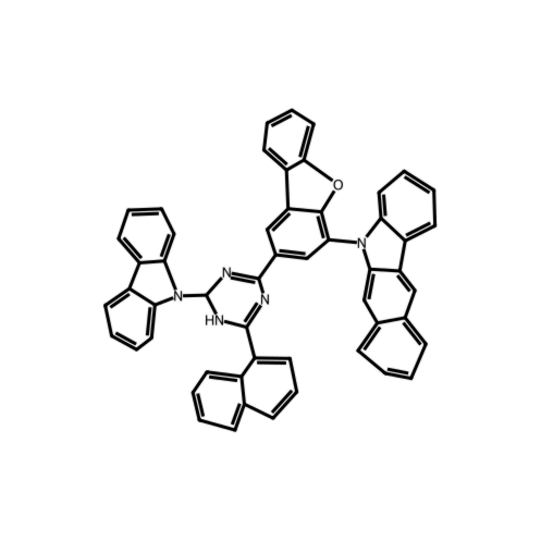 c1ccc2cc3c(cc2c1)c1ccccc1n3-c1cc(C2=NC(n3c4ccccc4c4ccccc43)NC(c3cccc4ccccc34)=N2)cc2c1oc1ccccc12